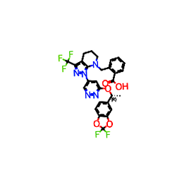 C[C@@H](Oc1cc(-n2nc(C(F)(F)F)c3c2N(Cc2ccccc2C(=O)O)CCC3)cnn1)c1ccc2c(c1)OC(F)(F)O2